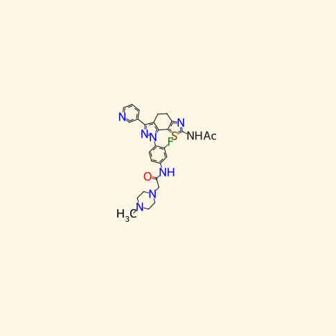 CC(=O)Nc1nc2c(s1)-c1c(c(-c3cccnc3)nn1-c1ccc(NC(=O)CN3CCN(C)CC3)cc1F)CC2